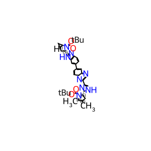 C[C@@H]1C[C@@H](c2nc(-c3cnc4cc(-c5ccc6nc([C@@H]7C[C@H]8CC8N7C(=O)OC(C)(C)C)[nH]c6c5)ccc4n3)c[nH]2)N(C(=O)OC(C)(C)C)[C@@H]1C